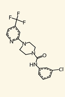 O=C(Nc1cccc(Cl)c1)N1CCN(c2cc(C(F)(F)F)ccn2)CC1